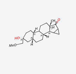 COC[C@@]1(O)CC[C@@H]2C3CC[C@]4(C)C(=O)C5CC5[C@H]4[C@@H]3CC[C@@H]2C1